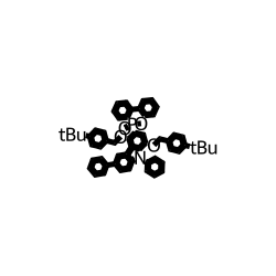 CC(C)(C)c1ccc(COc2c(P3(=O)Oc4ccccc4-c4ccccc43)cc(OCc3ccc(C(C)(C)C)cc3)c3c2c2cc(-c4ccccc4)ccc2n3-c2ccccc2)cc1